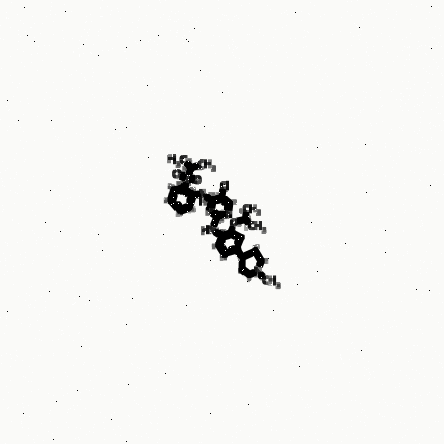 CC(C)Oc1cc(C2CCN(C)CC2)ccc1Nc1ncc(Cl)c(Nc2ccccc2S(=O)(=O)C(C)C)n1